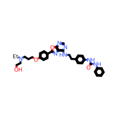 CCN(CCO)CCCOc1ccc(-c2nc3c(NCCc4ccc(NC(=O)Nc5ccccc5)cc4)ncnc3o2)cc1